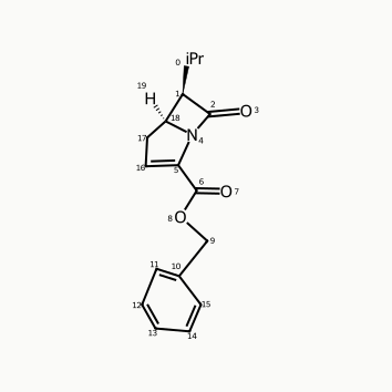 CC(C)[C@H]1C(=O)N2C(C(=O)OCc3ccccc3)=CC[C@@H]12